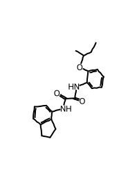 CCC(C)Oc1ccccc1NC(=O)C(=O)Nc1cccc2c1CCC2